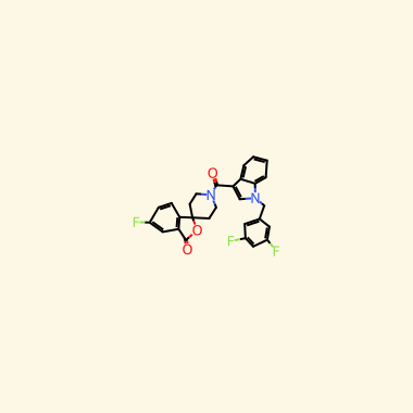 O=C1OC2(CCN(C(=O)c3cn(Cc4cc(F)cc(F)c4)c4ccccc34)CC2)c2ccc(F)cc21